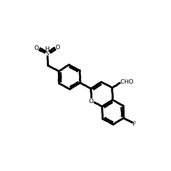 O=CC1C=C(c2ccc(C[SH](=O)=O)cc2)Oc2ccc(F)cc21